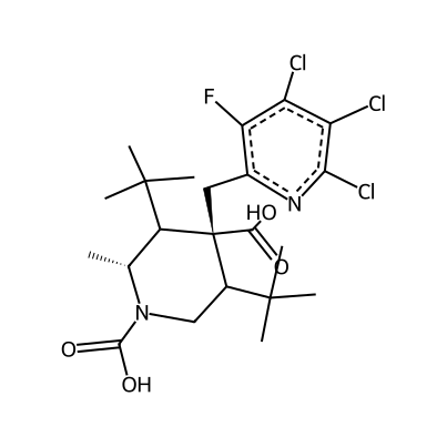 C[C@@H]1C(C(C)(C)C)[C@](Cc2nc(Cl)c(Cl)c(Cl)c2F)(C(=O)O)C(C(C)(C)C)CN1C(=O)O